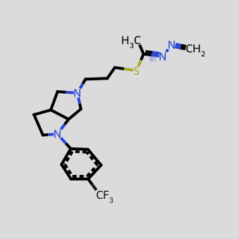 C=N/N=C(\C)SCCCN1CC2CCN(c3ccc(C(F)(F)F)cc3)C2C1